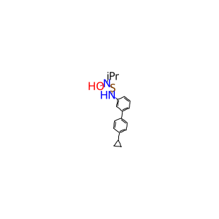 CC(C)N(O)SNc1cccc(-c2ccc(C3CC3)cc2)c1